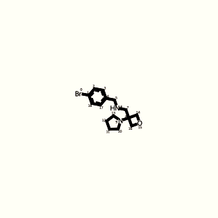 Brc1ccc(CNCC2(N3CCCC3)COC2)cc1